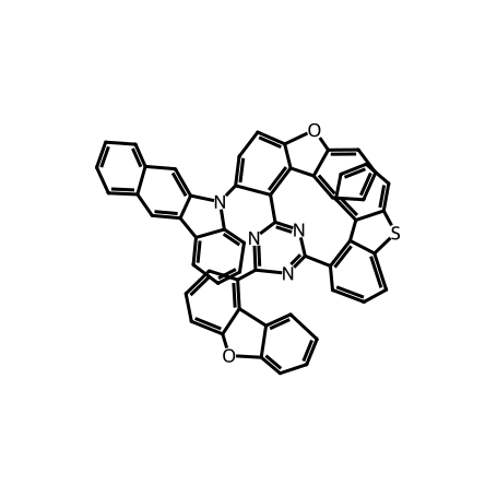 c1ccc2cc3c(cc2c1)c1ccccc1n3-c1ccc2oc3ccccc3c2c1-c1nc(-c2cccc3oc4ccccc4c23)nc(-c2cccc3sc4ccccc4c23)n1